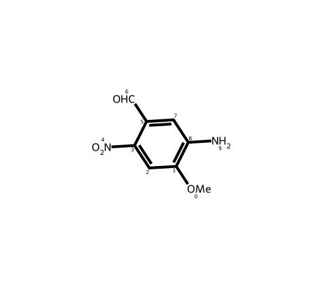 COc1cc([N+](=O)[O-])c(C=O)cc1N